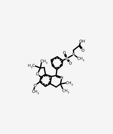 COc1cc2c(c3c1OC(C)(C)C3)C(c1cccc(S(=O)(=O)N(C)CC(=O)O)c1)=NC(C)(C)C2